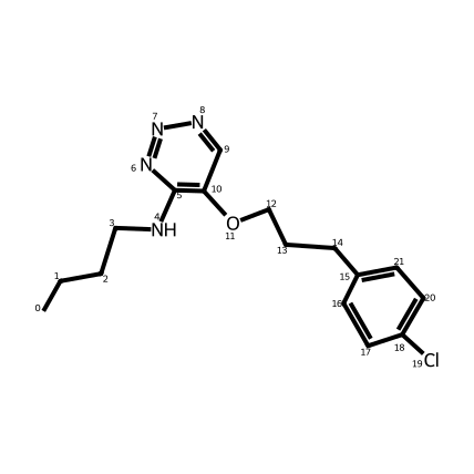 CCCCNc1nnncc1OCCCc1ccc(Cl)cc1